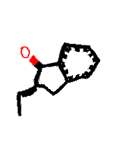 C/C=C1\Cc2ccccc2C1=O